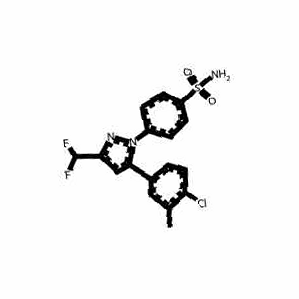 Cc1cc(-c2cc(C(F)F)nn2-c2ccc(S(N)(=O)=O)cc2)ccc1Cl